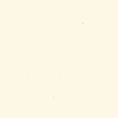 CCCCC/C=C\C/C=C\C/C=C\C/C=C\CCCCOC(CC)CO